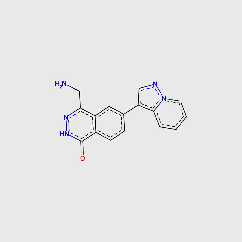 NCc1n[nH]c(=O)c2ccc(-c3cnn4ccccc34)cc12